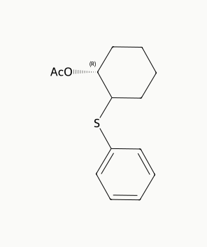 CC(=O)O[C@@H]1CCCCC1Sc1ccccc1